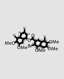 COc1cc2c(OC(=O)c3cc4c(C)c(OC)c(OC)cc4c(OC)c3Br)cc(C)cc2c(C)c1OC